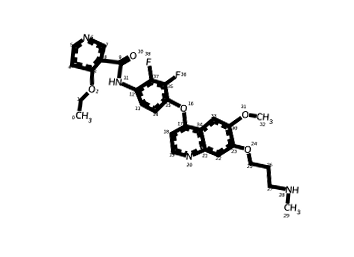 CCOc1ccncc1C(=O)Nc1ccc(Oc2ccnc3cc(OCCCNC)c(OC)cc23)c(F)c1F